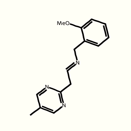 COc1ccccc1CN=CCc1ncc(C)cn1